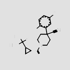 CC(C)(C)C1C[C@H]1C(=O)N1CCC(C#N)(c2cc(F)ccc2F)CC1